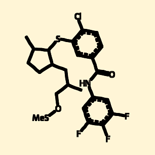 CSOCC(C)CC1CCC(C)C1Sc1cc(C(=O)Nc2cc(F)c(F)c(F)c2)ccc1Cl